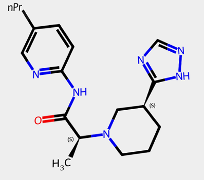 CCCc1ccc(NC(=O)[C@H](C)N2CCC[C@H](c3ncn[nH]3)C2)nc1